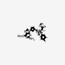 COc1nc(N)nc2c1ncn2[C@H]1C=C[C@@H](COP(=O)(N[C@@H](C)C(=O)OC(C)C)Oc2ccc(C)cc2)C1